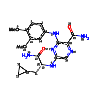 COc1ccc(Nc2nc(N[C@H](CC3CC3)C(N)=O)cnc2C(N)=O)cc1OC